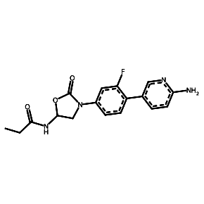 CCC(=O)NC1CN(c2ccc(-c3ccc(N)nc3)c(F)c2)C(=O)O1